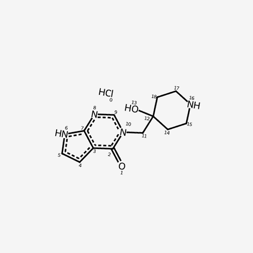 Cl.O=c1c2cc[nH]c2ncn1CC1(O)CCNCC1